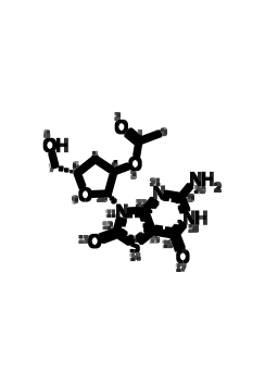 CC(=O)OC1C[C@@H](CO)O[C@H]1n1c(=O)sc2c(=O)[nH]c(N)nc21